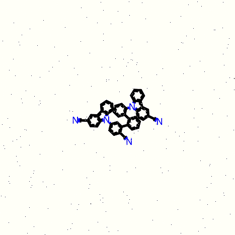 N#Cc1ccc2c(c1)c1ccccc1n2-c1ccc(C#N)c(-c2ccccc2-c2ccccc2-n2c3ccccc3c3cc(C#N)ccc32)c1